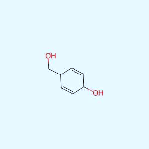 OCC1C=CC(O)C=C1